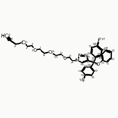 C#CCOCCOCCOCCOCCn1cc(C(Oc2[c]cccc2)(c2ccc(F)cc2)c2ccc(F)cc2)nn1